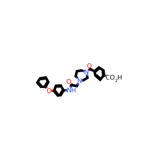 O=C(CN1CCCN(C(=O)c2ccc(C(=O)O)cc2)CC1)Nc1ccc(Oc2ccccc2)cc1